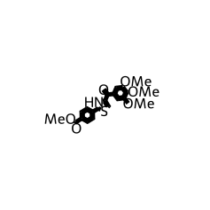 COC(=O)c1ccc(C2NC(C(=O)c3cc(OC)c(OC)c(OC)c3)=CS2)cc1